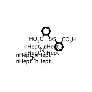 CCCCCCC[N+](CCCCCCC)(CCCCCCC)CCCCCCC.CCCCCCC[N+](CCCCCCC)(CCCCCCC)CCCCCCC.O=C(O)c1ccccc1SSc1ccccc1C(=O)O